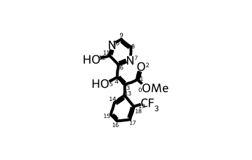 COC(=O)C(=C(O)c1nccnc1O)c1ccccc1C(F)(F)F